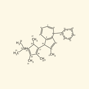 CC1=CC2=C(C=CC=CC2c2ccccc2)C1C1=C(C)C(C)=C([SiH](C)C)C1C